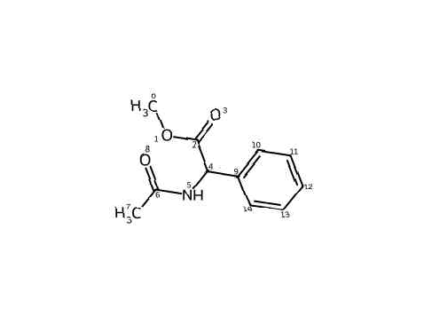 COC(=O)C(NC(C)=O)c1ccccc1